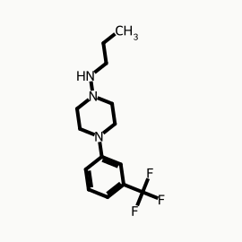 CCCNN1CCN(c2cccc(C(F)(F)F)c2)CC1